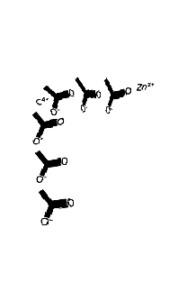 CC(=O)[O-].CC(=O)[O-].CC(=O)[O-].CC(=O)[O-].CC(=O)[O-].CC(=O)[O-].[C+4].[Zn+2]